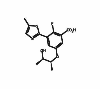 Cc1cnc(-c2cc(O[C@@H](C)[C@@H](C)O)cc(C(=O)O)c2F)s1